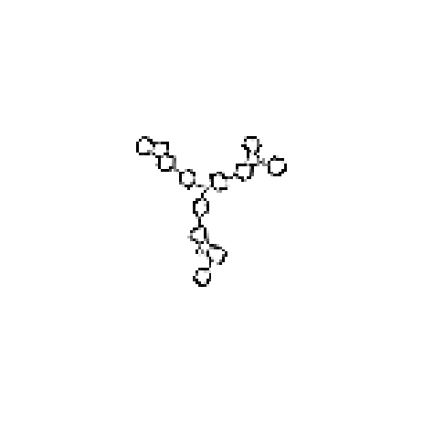 c1ccc(-c2cccc3c2oc2ccc(-c4ccc(N(c5ccc(-c6ccc7c(ccc8ccccc87)c6)cc5)c5ccc(-c6ccc7c(c6)c6ccccc6n7-c6ccccc6)cc5)cc4)cc23)cc1